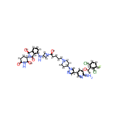 CC(Oc1cc(-c2cnn(C3CCN(CCCCC(=O)N4CC(Nc5cccc6c5C(=O)N(C5CCC(=O)NC5=O)C6=O)C4)CC3)c2)cnc1N)c1c(Cl)ccc(F)c1Cl